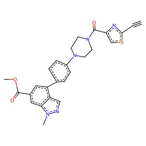 C#Cc1nc(C(=O)N2CCN(c3ccc(-c4cc(C(=O)OC)cc5c4cnn5C)cc3)CC2)cs1